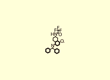 COc1ccc(N=C(c2ccccc2)c2ccccc2)c2c1CC(NC(=O)C(F)(F)F)CC2